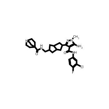 Cn1nc(C2CC3CC(CNC(=O)C45CCN(CC4)CC5)CC3C2)c(C(=O)Nc2ccc(F)c(Cl)c2)c1N